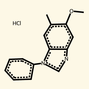 COc1cc2ncn(-c3ccccc3)c2cc1C.Cl